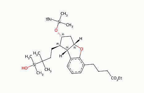 CCOC(=O)CCCc1cccc2c1O[C@H]1C[C@@H](O[Si](C)(C)C(C)(C)C)[C@H](CCC(C)(C)[Si](C)(C)O)[C@@H]21